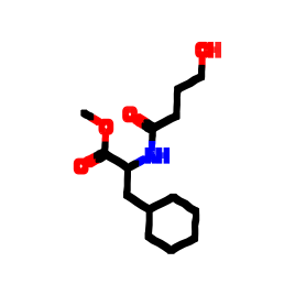 COC(=O)C(CC1CCCCC1)NC(=O)CCCO